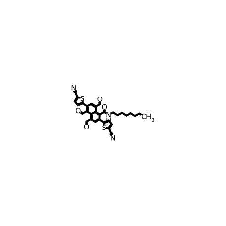 CCCCCCCCNC(=O)c1c(-c2ccc(C#N)s2)cc(C=O)c2c(C=O)c(-c3ccc(C#N)s3)cc(C=O)c12